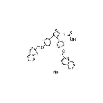 OC(=S)CCc1scc(-c2ccc(OCc3ccc4ccccc4n3)cc2)c1-c1ccc(OCc2ccc3ccccc3n2)cc1.[Na]